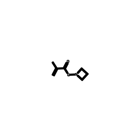 C=C(C)C(=O)ON1CCC1